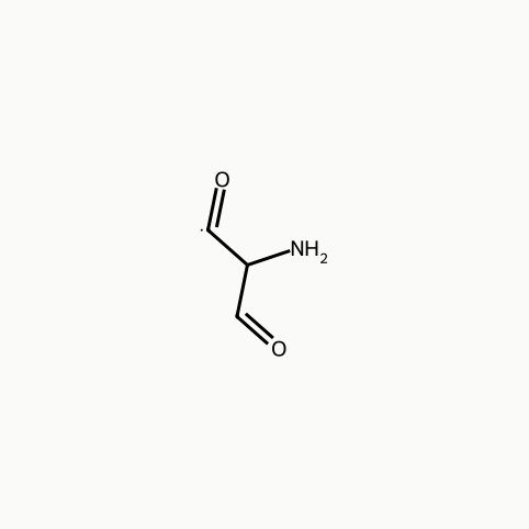 NC([C]=O)C=O